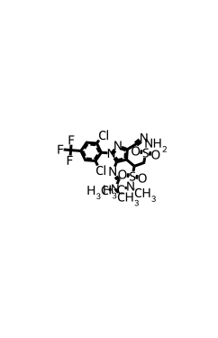 CN(C)C=Nc1c(C(CS(N)(=O)=O)S(=O)(=O)N(C)C)c(C#N)nn1-c1c(Cl)cc(C(F)(F)F)cc1Cl